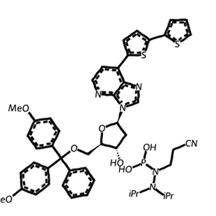 CC(C)N(C(C)C)N(CCC#N)P(O)O.COc1ccc(C(OC[C@H]2O[C@@H](n3cnc4c(-c5ccc(-c6cccs6)s5)ccnc43)C[C@@H]2O)(c2ccccc2)c2ccc(OC)cc2)cc1